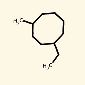 [CH2]C1CCCCC(CC)CC1